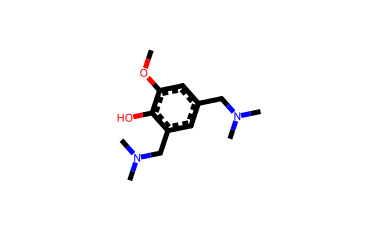 COc1cc(CN(C)C)cc(CN(C)C)c1O